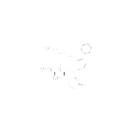 CNC(=N)NC(=O)CCC1(CN2CCCCC2=O)C=CC(c2ccccc2)=C(OCCCOC)C1